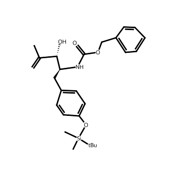 C=C(C)[C@H](O)[C@H](Cc1ccc(O[Si](C)(C)C(C)(C)C)cc1)NC(=O)OCc1ccccc1